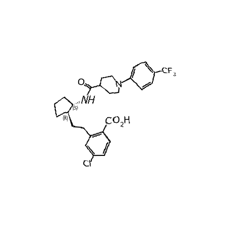 O=C(O)c1ccc(Cl)cc1CC[C@H]1CCC[C@@H]1NC(=O)C1CCN(c2ccc(C(F)(F)F)cc2)CC1